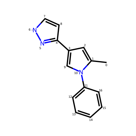 Cc1cc(C2=N[N]C=C2)cn1-c1ccccc1